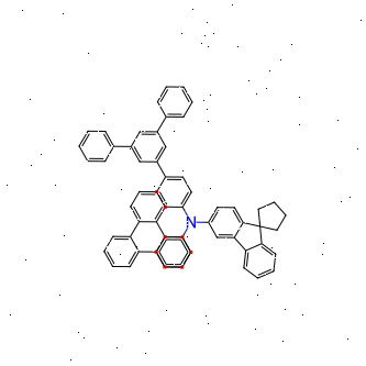 c1ccc(-c2cc(-c3ccccc3)cc(-c3ccc(N(c4ccc5c(c4)-c4ccccc4C54CCCC4)c4ccccc4-c4ccccc4-c4ccccc4-c4ccccc4)cc3)c2)cc1